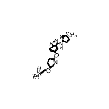 Cc1ccc(Nc2ncnc3ccc(Oc4ccc(OCCNC(C)C)cn4)cc23)nc1